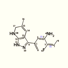 C=C(/C=C(N)\C(F)=C/C)c1n[nH]c2c1C=C(C)CN2